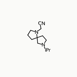 CC(C)N1CCC2(CCCN2CC#N)C1